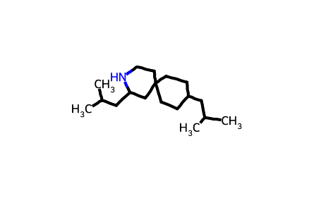 CC(C)CC1CCC2(CCNC(CC(C)C)C2)CC1